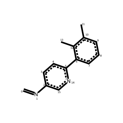 C=Nc1ccc(-c2cccc(C)c2C)nc1